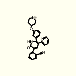 N#Cc1ccccc1-c1cc(-c2ccccn2)c(-c2cccc(OC3CCNCC3)c2)[nH]c1=O